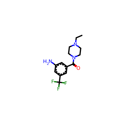 CCN1CCN(C(=O)c2cc(N)cc(C(F)(F)F)c2)CC1